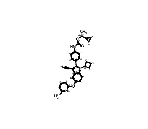 Cc1cccc(Oc2ccc3c(c2)c(C#N)c(-c2ccc(NC(=O)O[C@H](C)C4CC4)cc2)n3C2CCC2)n1